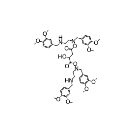 COc1ccc(CNCCN(Cc2ccc(OC)c(OC)c2)OC(=O)CC(O)C(=O)ON(CCNCc2ccc(OC)c(OC)c2)Cc2ccc(OC)c(OC)c2)cc1OC